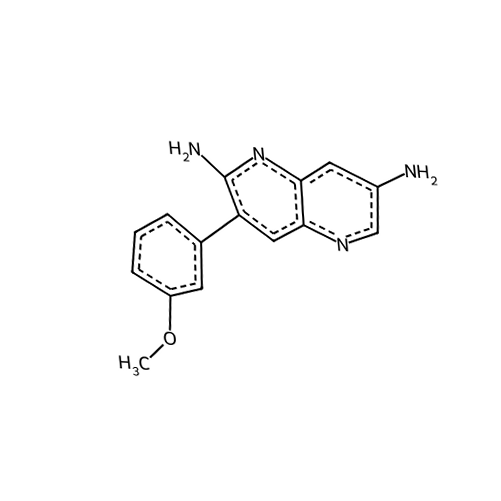 COc1cccc(-c2cc3ncc(N)cc3nc2N)c1